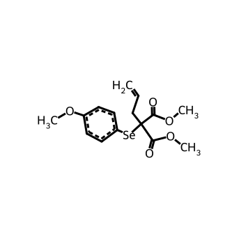 C=CCC([Se]c1ccc(OC)cc1)(C(=O)OC)C(=O)OC